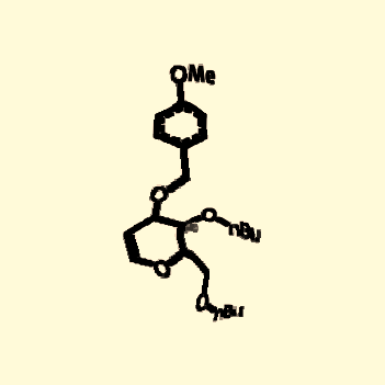 CCCCOCC1OC=CC(OCc2ccc(OC)cc2)[C@H]1OCCCC